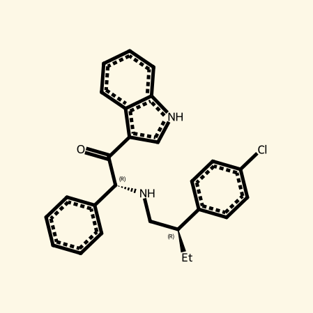 CC[C@@H](CN[C@@H](C(=O)c1c[nH]c2ccccc12)c1ccccc1)c1ccc(Cl)cc1